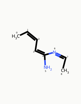 C\C=C/C=C(N)\N=C/C